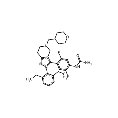 CCc1cccc(CC)c1-n1nc2c(c1-c1cc(F)c(NC(N)=O)cc1F)CN(CC1CCOCC1)CC2